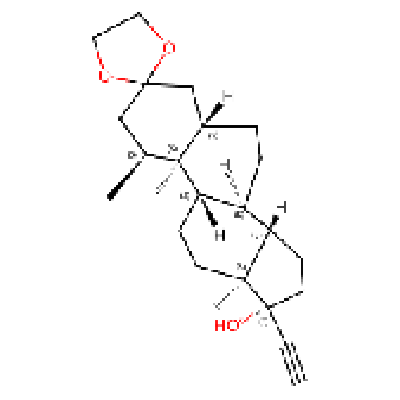 C#C[C@]1(O)CC[C@H]2[C@@H]3CC[C@H]4CC5(C[C@H](C)[C@]4(C)[C@H]3CC[C@@]21C)OCCO5